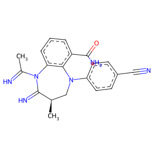 CC(=N)N1C(=N)[C@H](C)CN(c2ccc(C#N)cc2)c2c(C(N)=O)cccc21